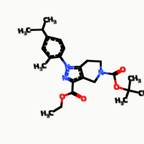 CCOC(=O)c1nn(-c2ccc(C(C)C)cc2C)c2c1CN(C(=O)OC(C)(C)C)CC2